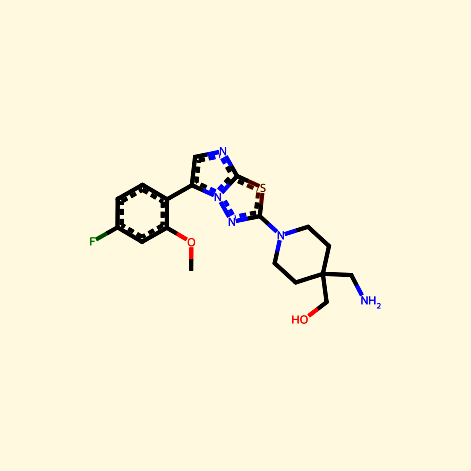 COc1cc(F)ccc1-c1cnc2sc(N3CCC(CN)(CO)CC3)nn12